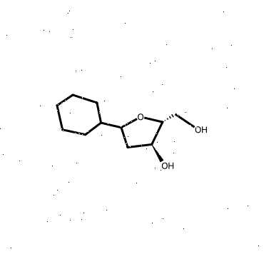 OC[C@H]1OC(C2CCCCC2)C[C@@H]1O